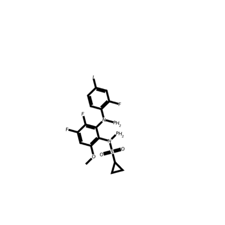 COc1cc(F)c(F)c(N(P)c2ccc(I)cc2F)c1N(P)S(=O)(=O)C1CC1